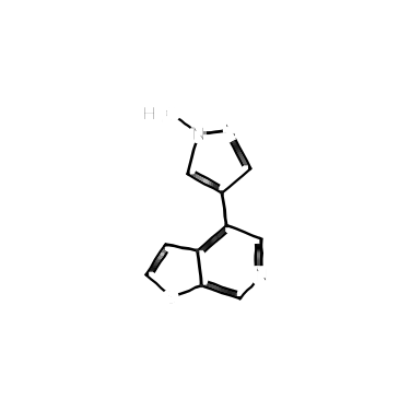 Cn1cc(-c2cncc3sccc23)cn1